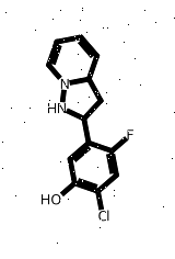 Oc1cc(C2CC3C=CC=CN3N2)c(F)cc1Cl